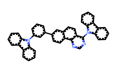 c1cc(-c2ccc3c(ccc4c(-n5c6ccccc6c6ccccc65)ncnc43)c2)cc(-n2c3ccccc3c3ccccc32)c1